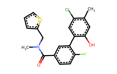 Cc1cc(O)c(-c2cc(C(=O)N(C)Cc3cccs3)ccc2F)cc1Cl